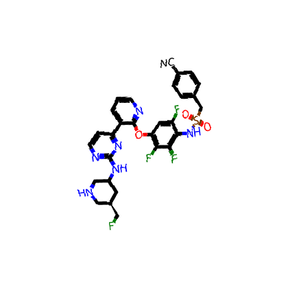 N#Cc1ccc(CS(=O)(=O)Nc2c(F)cc(Oc3ncccc3-c3ccnc(NC4CNC[C@H](CF)C4)n3)c(F)c2F)cc1